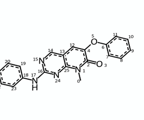 Cn1c(=O)c(Oc2ccccc2)cc2cnc(Nc3ccccc3)nc21